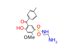 COc1cc(O)c(C(=O)c2ccc(C)cc2)cc1S(=O)(=O)NCCN